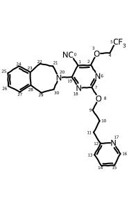 N#Cc1c(OCC(F)(F)F)nc(OCCCc2ccccn2)nc1N1CCc2ccccc2CC1